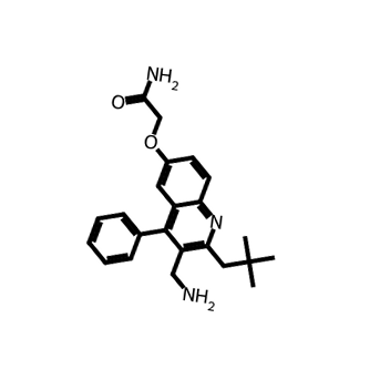 CC(C)(C)Cc1nc2ccc(OCC(N)=O)cc2c(-c2ccccc2)c1CN